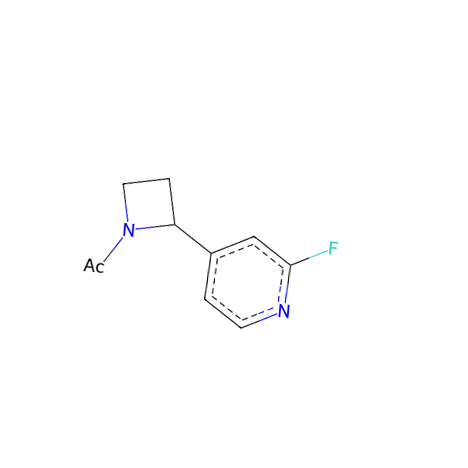 CC(=O)N1CCC1c1ccnc(F)c1